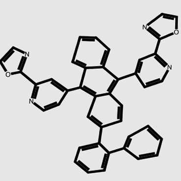 c1ccc(-c2ccccc2-c2ccc3c(-c4ccnc(-c5ncco5)c4)c4ccccc4c(-c4ccnc(-c5ncco5)c4)c3c2)cc1